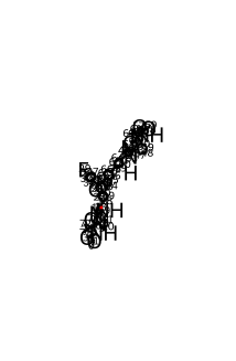 COC(=O)N[C@H](C(=O)N1CCC[C@H]1c1ncc(-c2ccc3c(c2)OC(c2ccc(F)cc2)n2c-3cc3cc(-c4ccc(-c5cnc(C6CCCCC6C(=O)N(NC(=O)OC)C(C)C)[nH]5)cc4)ccc32)[nH]1)C(C)C